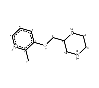 Cc1ncccc1OC[C]1CNCCO1